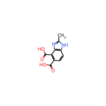 Cc1nc2c(C(=O)O)c(C(=O)O)ccc2[nH]1